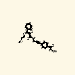 COCCOc1c(C(=O)NCC#Cc2ccc(C(=O)NO)cc2)oc2ccccc12